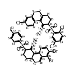 [N-]=[N+]=C1C2=C(CCc3cc(Cl)ccc32)CCC1S(=O)(=O)c1cc(Cl)ccc1Cl.[N-]=[N+]=C1C2=c3ccc(Br)c(Br)c3=CCC2CCC1S(=O)(=O)c1ccc(I)cc1